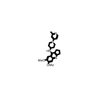 COc1cc2nc3c(c(NC4CCN(c5ccnc(C)c5)CC4)c2cc1OC)CCC3